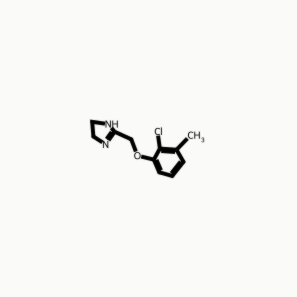 Cc1cccc(OCC2=NCCN2)c1Cl